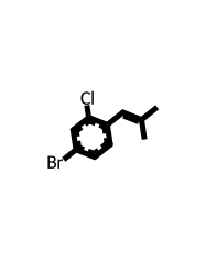 CC(C)=Cc1ccc(Br)cc1Cl